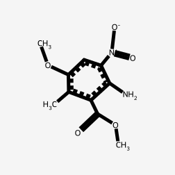 COC(=O)c1c(C)c(OC)cc([N+](=O)[O-])c1N